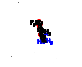 CC(NC(=O)c1ccc(C(=N)N)cc1)C(=O)c1ccc(OCC(=O)OC(=O)C(F)(F)F)cc1